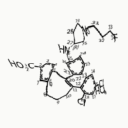 Cl.O=C(O)c1ccc2c(c1)CCCC(c1ccc(Cl)cc1Cl)=C2c1cccc(N[C@@H]2CCN(CCCF)C2)c1